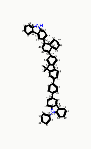 CC1(C)c2cc(-c3ccc(-c4ccc5c(c4)c4ccccc4n5-c4ccccc4)cc3)ccc2-c2ccc(-c3ccc(-c4ccc5[nH]c6ccccc6c5c4)c4ccccc34)cc21